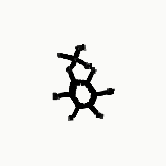 O=P(O)(O)Oc1c(Br)c(Br)c(Br)c(Br)c1Br